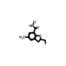 CCNC(=O)c1cc(C)cc2c1OC(CF)C2